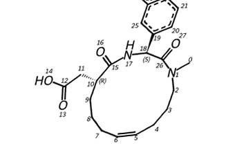 CN1CCCC=CCCC[C@H](CC(=O)O)C(=O)N[C@@H](c2cccc(F)c2)C1=O